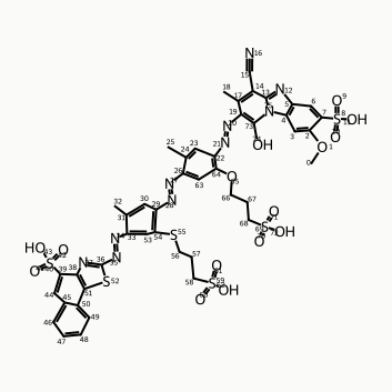 COc1cc2c(cc1S(=O)(=O)O)nc1c(C#N)c(C)c(N=Nc3cc(C)c(N=Nc4cc(C)c(N=Nc5nc6c(S(=O)(=O)O)cc7ccccc7c6s5)cc4SCCCS(=O)(=O)O)cc3OCCCS(=O)(=O)O)c(O)n12